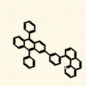 c1ccc(-c2c3ccccc3c(-c3ccccc3)c3cc(-c4cccc(-c5cccc6ccc7cccnc7c56)c4)ccc23)cc1